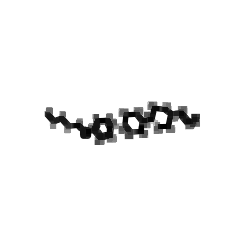 CCCCCOc1ccc([C@H]2CC[C@H]([C@H]3CC[C@H](C=CF)CC3)CC2)cc1